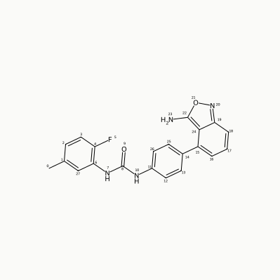 Cc1ccc(F)c(NC(=O)Nc2ccc(-c3cccc4noc(N)c34)cc2)c1